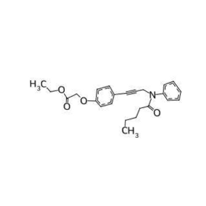 CCCCC(=O)N(CC#Cc1ccc(OCC(=O)OCC)cc1)c1ccccc1